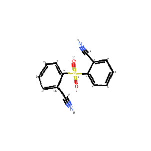 N#Cc1ccccc1S(=O)(=O)c1ccccc1C#N